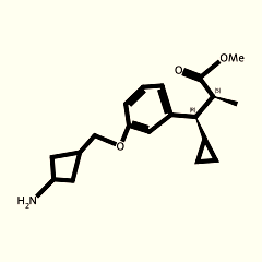 COC(=O)[C@@H](C)[C@H](c1cccc(OCC2CC(N)C2)c1)C1CC1